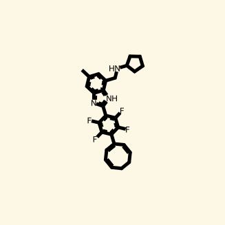 Cc1cc(CNC2CCCC2)c2[nH]c(-c3c(F)c(F)c(C4=C/C=C\CC/C=C\4)c(F)c3F)nc2c1